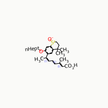 CCCCCCCOc1cc2c(cc1\C(C)=C/C=C/C(C)=C/C(=O)O)C(C)(C)CC[S+]2[O-]